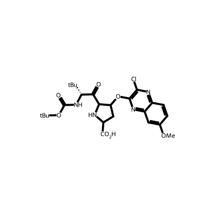 COc1ccc2nc(Cl)c(OC3CC(C(=O)O)NC3C(=O)[C@H](NC(=O)OC(C)(C)C)C(C)(C)C)nc2c1